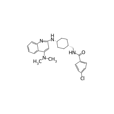 CN(C)c1cc(N[C@H]2CC[C@@H](CNC(=O)c3ccc(Cl)cc3)CC2)nc2ccccc12